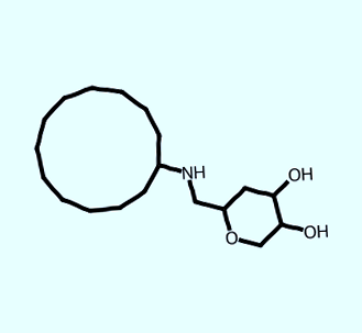 OC1COC(CNC2CCCCCCCCCCCC2)CC1O